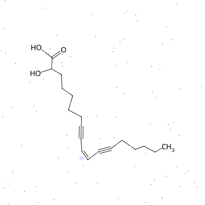 CCCCCC#C/C=C\C#CCCCCCC(O)C(=O)O